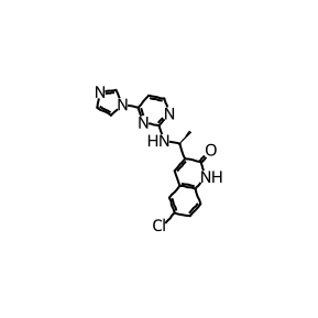 C[C@H](Nc1nccc(-n2ccnc2)n1)c1cc2cc(Cl)ccc2[nH]c1=O